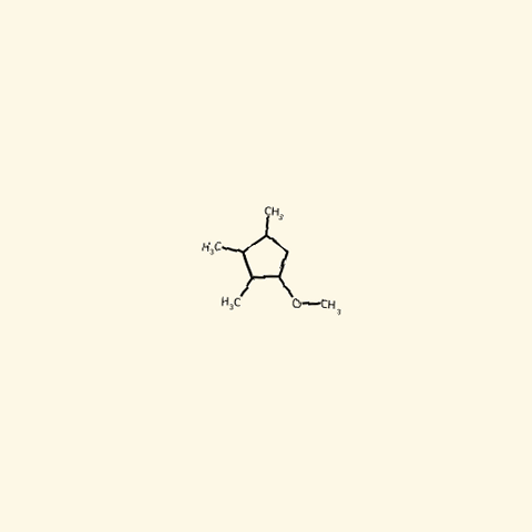 COC1CC(C)C(C)C1C